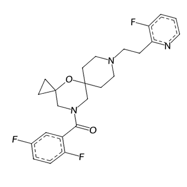 O=C(c1cc(F)ccc1F)N1CC2(CCN(CCc3ncccc3F)CC2)OC2(CC2)C1